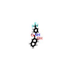 O=C(Nc1ccc(C(F)(F)F)cc1)c1cc2ccccc2cc1O